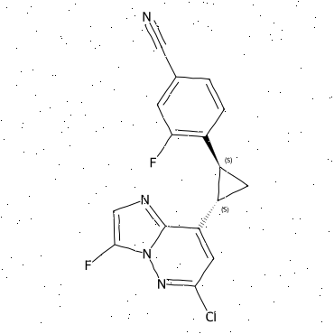 N#Cc1ccc([C@H]2C[C@@H]2c2cc(Cl)nn3c(F)cnc23)c(F)c1